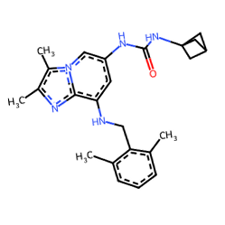 Cc1cccc(C)c1CNc1cc(NC(=O)NC23CC(C2)C3)cn2c(C)c(C)nc12